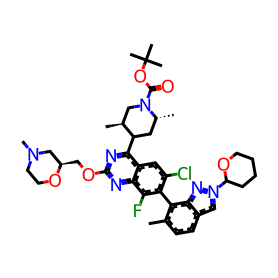 Cc1ccc2cn(C3CCCCO3)nc2c1-c1c(Cl)cc2c(C3C[C@@H](C)N(C(=O)OC(C)(C)C)C[C@@H]3C)nc(OC[C@@H]3CN(C)CCO3)nc2c1F